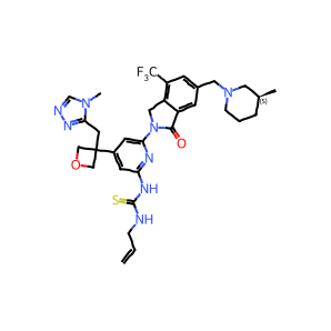 C=CCNC(=S)Nc1cc(C2(Cc3nncn3C)COC2)cc(N2Cc3c(cc(CN4CCC[C@H](C)C4)cc3C(F)(F)F)C2=O)n1